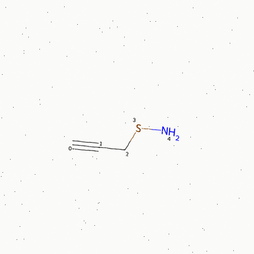 C#CCSN